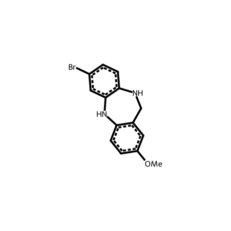 COc1ccc2c(c1)CNc1ccc(Br)cc1N2